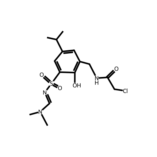 CC(C)c1cc(CNC(=O)CCl)c(O)c(S(=O)(=O)/N=C/N(C)C)c1